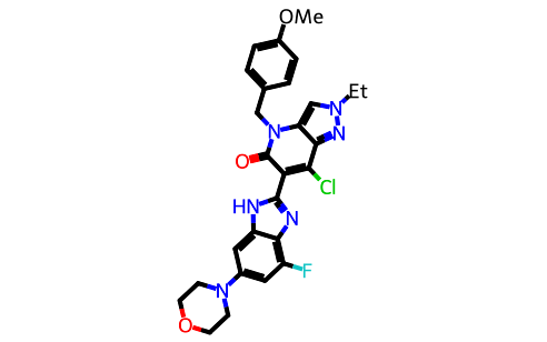 CCn1cc2c(n1)c(Cl)c(-c1nc3c(F)cc(N4CCOCC4)cc3[nH]1)c(=O)n2Cc1ccc(OC)cc1